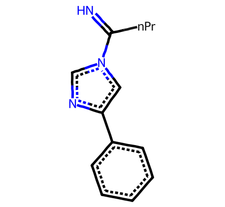 C[CH]CC(=N)n1cnc(-c2ccccc2)c1